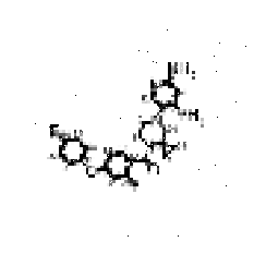 Nc1cc(P)c(N2CCN(C(=O)c3ccc(Oc4ccc(F)cc4)cc3F)C3(CC3)C2)cn1